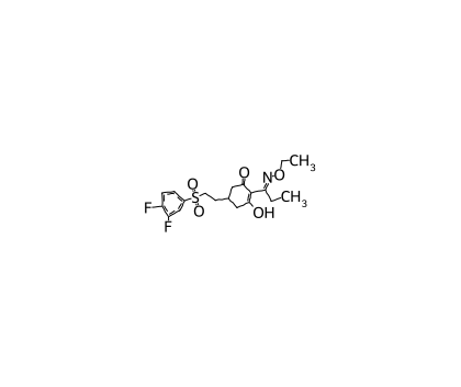 CCON=C(CC)C1=C(O)CC(CCS(=O)(=O)c2ccc(F)c(F)c2)CC1=O